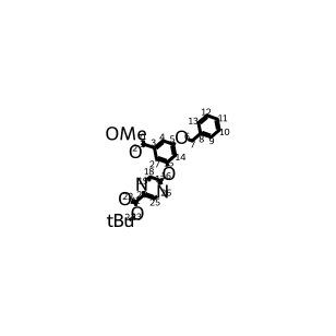 COC(=O)c1cc(OCc2ccccc2)cc(Oc2cnc(C(=O)OC(C)(C)C)cn2)c1